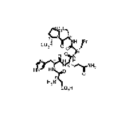 CC(C)C[C@H](NC(=O)[C@H](CCC(N)=O)NC(=O)[C@H](Cc1c[nH]cn1)NC(=O)[C@@H](N)CC(=O)O)C(=O)N[C@@H](CC(=O)O)C(=O)N1CCC[C@H]1C(=O)O